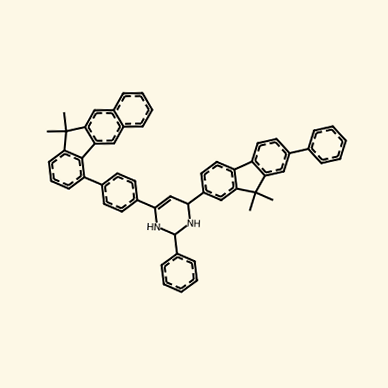 CC1(C)c2cc(-c3ccccc3)ccc2-c2ccc(C3C=C(c4ccc(-c5cccc6c5-c5cc7ccccc7cc5C6(C)C)cc4)NC(c4ccccc4)N3)cc21